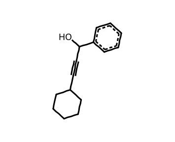 OC(C#CC1CCCCC1)c1ccccc1